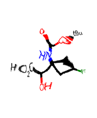 CC(C)(C)OC(=O)NC1(C(O)C(=O)O)CC(F)C1